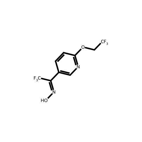 ON=C(c1ccc(OCC(F)(F)F)nc1)C(F)(F)F